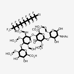 CC(=O)N[C@@H]1[C@@H](O)[C@H](O[C@@H]2O[C@H](C(=O)O)[C@@H](O[C@@H]3O[C@H](CO)[C@@H](O[C@H]4O[C@@H](C(=O)O)[C@H](O)[C@@H](O)[C@@H]4OS(=O)(=O)O)[C@H](OS(=O)(=O)O)[C@H]3NS(=O)(=O)O)[C@H](O)[C@H]2OS(=O)(=O)O)[C@H](COS(=O)(=O)O)O[C@H]1O.[CH2]CC(F)(F)C(F)(F)C(F)(F)C(F)(F)C(F)(F)C(F)(F)C(F)(F)C(F)(F)F